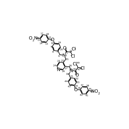 O=C(C(Cl)Cl)N(Cc1ccc(Oc2ccc([N+](=O)[O-])cc2)cc1)Cc1ccncc1CN(Cc1ccc(Oc2ccc([N+](=O)[O-])cc2)cc1)C(=O)C(Cl)Cl